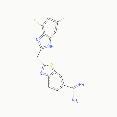 N=C(N)c1ccc2nc(Cc3nc4c(F)cc(F)cc4[nH]3)sc2c1